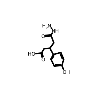 NNC(=O)CC(CC(=O)O)c1ccc(O)cc1